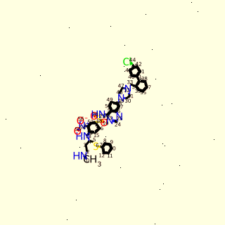 CNCCC(CSc1ccccc1)Nc1ccc(S(=O)(=O)Nc2ncnc3cc(N4CCN(Cc5ccccc5-c5ccc(Cl)cc5)CC4)ccc23)cc1[N+](=O)[O-]